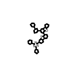 c1ccc(-c2cccc(-c3cc(-c4cccc5c4sc4cc(-c6nc(-c7ccccc7)nc(-c7ccccc7)n6)ccc45)c4oc5ccccc5c4c3)c2)cc1